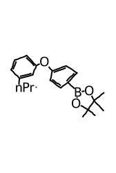 CC[CH]c1cccc(Oc2ccc(B3OC(C)(C)C(C)(C)O3)cc2)c1